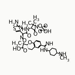 CNC1CCC(NC(=N)c2ccc3c(c2)CC[C@H]([C@](C)(O/N=C(\C(=O)N[C@@H]2C(=O)N(OS(=O)(=O)O)C2(C)C)c2csc(N)n2)C(=O)O)O3)CC1